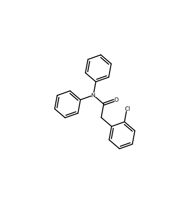 O=C(Cc1ccccc1Cl)N(c1ccccc1)c1ccccc1